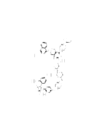 CCC(=O)N1CCN(c2nc(NCCC(=O)N3CCC(CN4CCN(Cc5ccc(-n6c(O)nnc6-c6ccc(O)cc6O)cc5)CC4)CC3)nc3c2CCN(c2cc(O)cc4ccccc24)C3)CC1